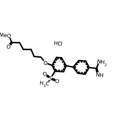 COC(=O)CCCCCOc1ccc(-c2ccc(C(=N)N)cc2)cc1S(C)(=O)=O.Cl